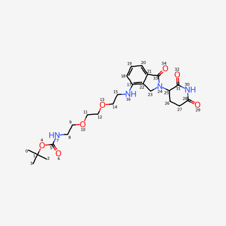 CC(C)(C)OC(=O)NCCOCCOCCNc1cccc2c1CN(C1CCC(=O)NC1=O)C2=O